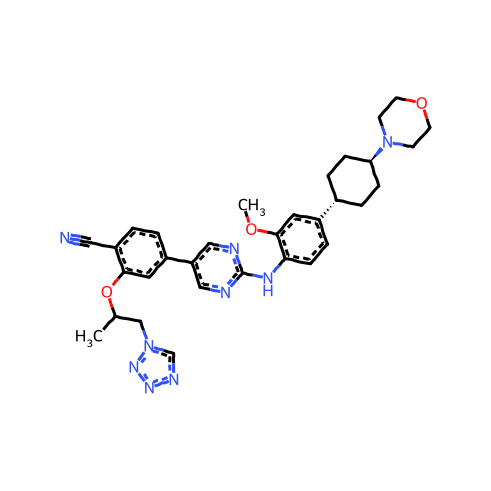 COc1cc([C@H]2CC[C@H](N3CCOCC3)CC2)ccc1Nc1ncc(-c2ccc(C#N)c(OC(C)Cn3cnnn3)c2)cn1